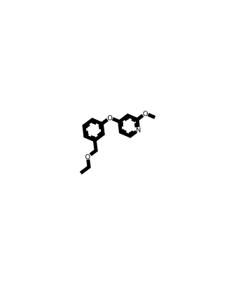 CCOCc1cccc(Oc2ccnc(OC)c2)c1